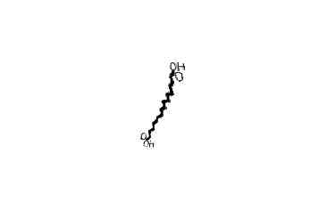 O=C(O)CCCCCCCCCCCCCCCCC(=O)O